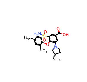 Cc1ccc(Oc2c(N3CCC(C)C3)cc(C(=O)O)cc2S(N)(=O)=O)c(C)c1